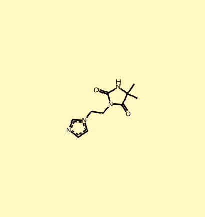 CC1(C)NC(=O)N(CCn2ccnc2)C1=O